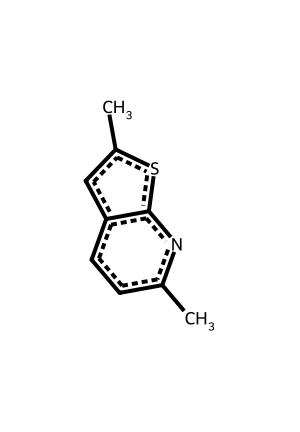 Cc1ccc2cc(C)sc2n1